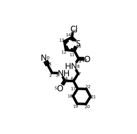 N#CCNC(=O)C(CNC(=O)c1ccc(Cl)s1)C1CCCCC1